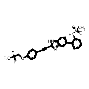 CS(=O)(=O)Nc1ccccc1-c1ccc2[nH]c(C#Cc3ccc(OCC(F)(F)C(F)(F)F)cc3)nc2c1